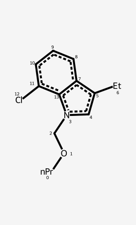 CCCOCn1cc(CC)c2cccc(Cl)c21